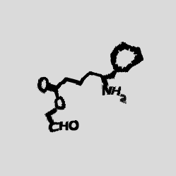 NC(CCCC(=O)OCC=O)c1ccccc1